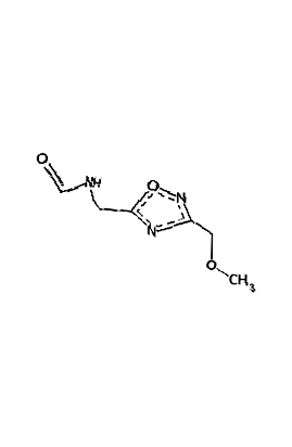 COCc1noc(CNC=O)n1